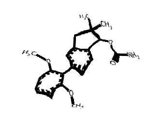 COc1cccc(OC)c1-c1ccc2c(c1)CC(C)(C)C2OC(N)=O